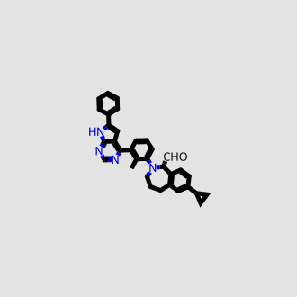 Cc1c(-c2ncnc3[nH]c(-c4ccccc4)cc23)cccc1N1CCCc2cc(C3CC3)ccc2C1C=O